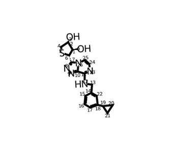 O[C@@H]1[C@H](O)CS[C@H]1c1nnc2c(NCc3cccc(C4CC4)c3)nccn12